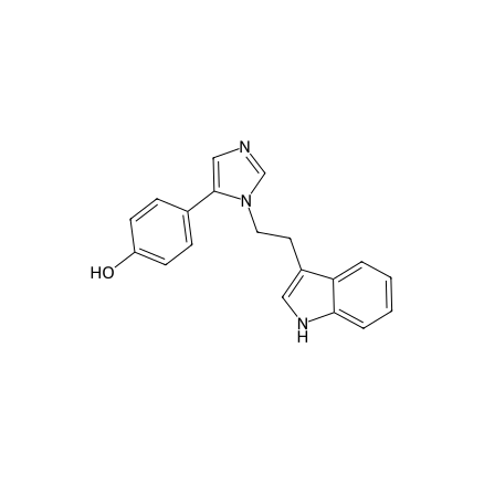 Oc1ccc(-c2cncn2CCc2c[nH]c3ccccc23)cc1